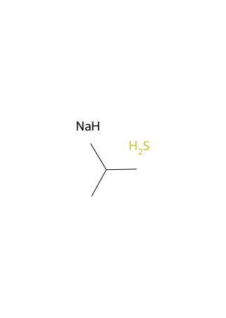 CC(C)C.S.[NaH]